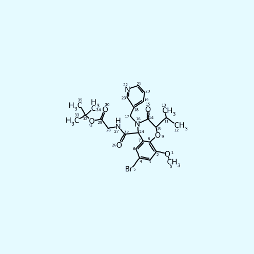 COc1cc(Br)cc2c1OC(C(C)C)C(=O)N(Cc1cccnc1)C2C(=O)NCC(=O)OC(C)(C)C